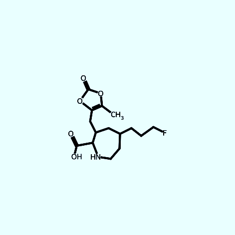 Cc1oc(=O)oc1CC1CC(CCCF)CCNC1C(=O)O